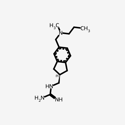 CCCN(C)Cc1ccc2c(c1)C[C@H](CNC(=N)N)C2